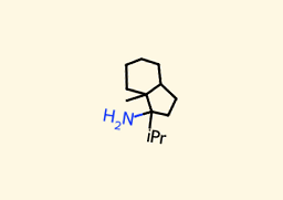 CC(C)C1(N)CCC2CCCCC21C